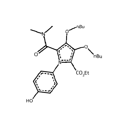 CCCCOc1c(OCCCC)c(C(=O)N(C)C)n(-c2ccc(O)cc2)c1C(=O)OCC